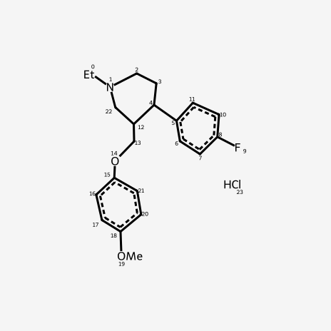 CCN1CCC(c2ccc(F)cc2)C(COc2ccc(OC)cc2)C1.Cl